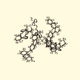 C=CC(=O)OCCNC(=O)OCC(CSc1nc2ccccc2s1)(Cn1c2ccc(-c3cccc4c3Sc3ccccc3S4)cc2c2cc(-c3cccc4c3Sc3ccccc3S4)ccc21)Cn1c2ccc(-c3cccc4c3Sc3ccccc3S4)cc2c2cc(-c3cccc4c3Sc3ccccc3S4)ccc21